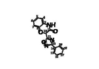 O=C1Nc2ccccc2OC1c1nc(-c2ccccc2)no1